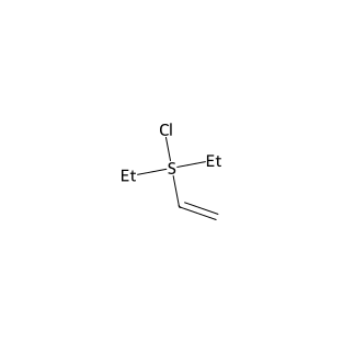 C=CS(Cl)(CC)CC